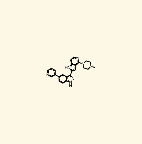 CN1CCN(c2nccc3[nH]c(-c4n[nH]c5ccc(-c6cccnc6)cc45)cc23)CC1